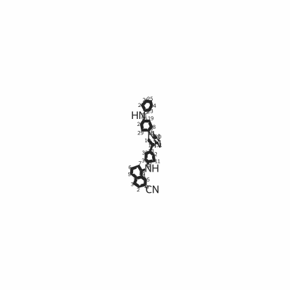 N#Cc1ccc2cccc(Nc3ccc(-c4cn(-c5ccc(Nc6ccccc6)cc5)nn4)cc3)c2c1